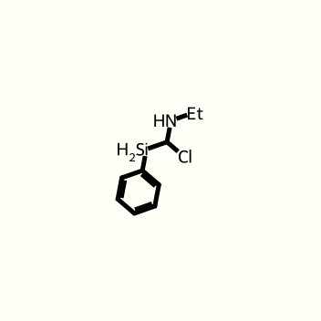 CCNC(Cl)[SiH2]c1ccccc1